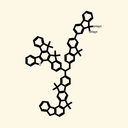 CCCCCCCC1(CCCCCCC)c2ccccc2-c2ccc(-c3ccc4c(c3)C(C)(C)c3cc(CC(c5ccc6c(c5)C(C)(C)c5cc7c(cc5-6)C(C)(C)c5ccc6c(c5-7)-c5ccccc5C6)c5ccc6c(c5)C(C)(C)c5c7c(c8c(oc9ccccc98)c5-6)-c5ccccc5C7(C)C)ccc3-4)cc21